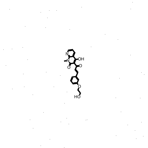 Cn1c(=O)c(C(=O)C=Cc2cccc(OCCO)c2)c(O)c2cccnc21